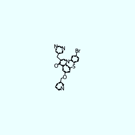 O=c1c(Cc2cncnc2)cn2c3c(cc(OCc4cccnc4)cc13)Sc1ccc(Br)cc1-2